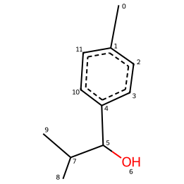 Cc1ccc(C(O)C(C)C)cc1